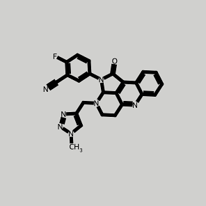 Cn1cc(CN2CCc3nc4ccccc4c4c3C2N(c2ccc(F)c(C#N)c2)C4=O)nn1